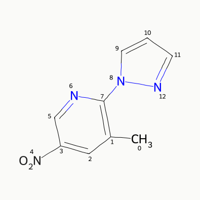 Cc1cc([N+](=O)[O-])cnc1-n1cccn1